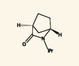 CC(C)N1C(=O)[C@H]2CC[C@H]1C2